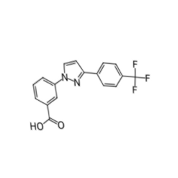 O=C(O)c1cccc(-n2ccc(-c3ccc(C(F)(F)F)cc3)n2)c1